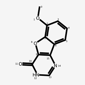 COc1cccc2c1oc1c(=O)[nH]cnc12